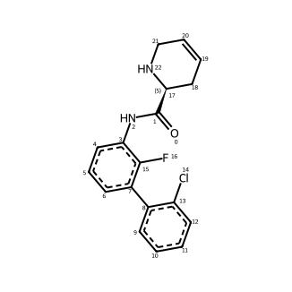 O=C(Nc1cccc(-c2ccccc2Cl)c1F)[C@@H]1CC=CCN1